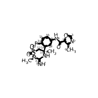 Cc1ncoc1C(=O)Nc1ccc(F)c([C@]2(C)CS(=O)(=O)N(C)C(=N)N2)c1